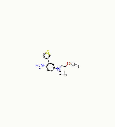 COCCN(C)c1ccc(N)c(-c2ccsc2)c1